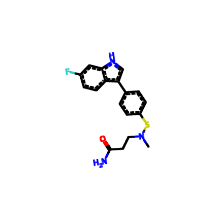 CN(CCC(N)=O)Sc1ccc(-c2c[nH]c3cc(F)ccc23)cc1